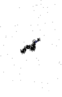 Cc1cc(Nc2ncnn3ccc(C4(O)CN(C(=O)/C=C/CN(C)C)C4)c23)ccc1Oc1ccn2ncnc2c1